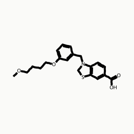 COCCCCOc1cccc(CN2CSc3cc(C(=O)O)ccc32)c1